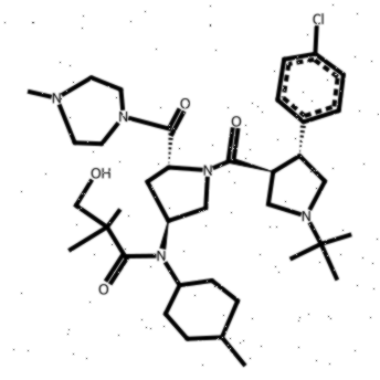 CC1CCC(N(C(=O)C(C)(C)CO)[C@H]2C[C@H](C(=O)N3CCN(C)CC3)N(C(=O)[C@@H]3CN(C(C)(C)C)C[C@H]3c3ccc(Cl)cc3)C2)CC1